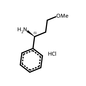 COCC[C@H](N)c1ccccc1.Cl